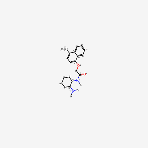 COc1ccc(OCC(=O)N(C)C2CCCCC2N(C)C)c2ccccc12